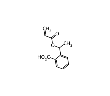 C=CC(=O)OC(C)c1ccccc1C(=O)O